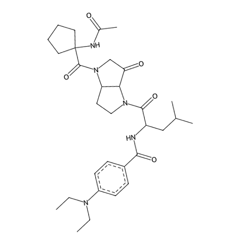 CCN(CC)c1ccc(C(=O)NC(CC(C)C)C(=O)N2CCC3C2C(=O)CN3C(=O)C2(NC(C)=O)CCCC2)cc1